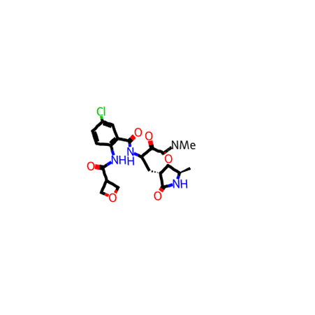 CNC(=O)C(=O)C(C[C@@H]1C[C@@H](C)NC1=O)NC(=O)c1cc(Cl)ccc1NC(=O)C1COC1